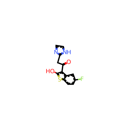 O=C(Cc1ncc[nH]1)c1c(O)sc2ccc(F)cc12